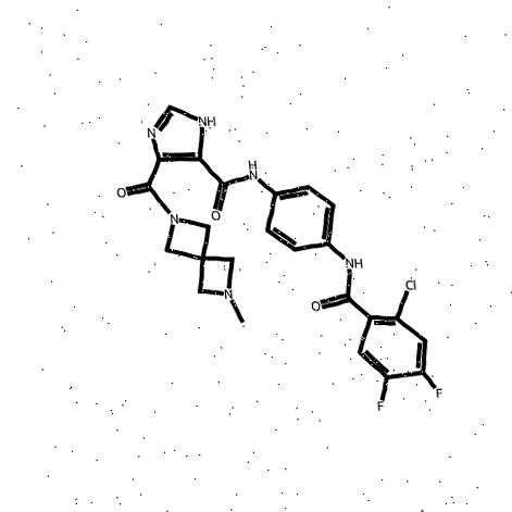 CN1CC2(C1)CN(C(=O)c1nc[nH]c1C(=O)Nc1ccc(NC(=O)c3cc(F)c(F)cc3Cl)cc1)C2